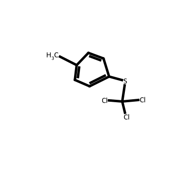 Cc1ccc(SC(Cl)(Cl)Cl)cc1